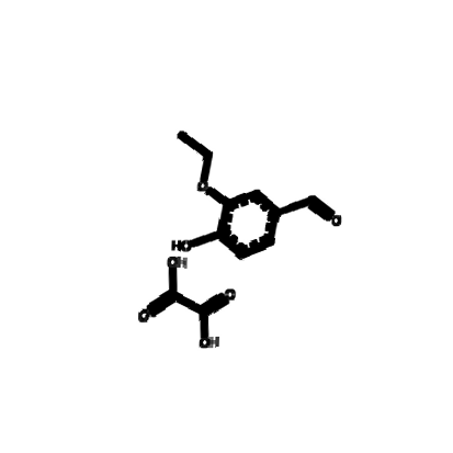 CCOc1cc(C=O)ccc1O.O=C(O)C(=O)O